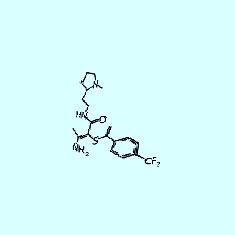 C=C(S/C(C(=O)NCCC1CCCN1C)=C(/C)N)c1ccc(C(F)(F)F)cc1